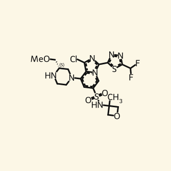 COC[C@@H]1CN(c2cc(S(=O)(=O)NC3(C)COC3)cn3c(-c4nnc(C(F)F)s4)nc(Cl)c23)CCN1